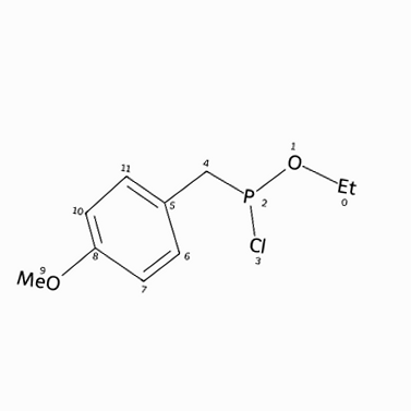 CCOP(Cl)Cc1ccc(OC)cc1